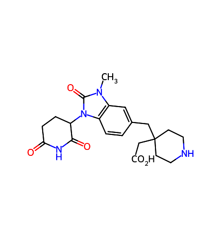 Cn1c(=O)n(C2CCC(=O)NC2=O)c2ccc(CC3(CC(=O)O)CCNCC3)cc21